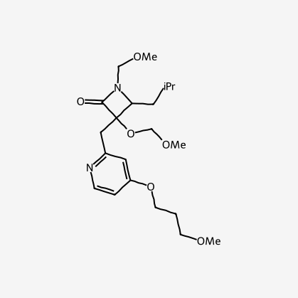 COCCCOc1ccnc(CC2(OCOC)C(=O)N(COC)C2CC(C)C)c1